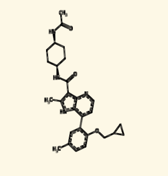 CC(=O)N[C@H]1CC[C@@H](NC(=O)c2c(C)[nH]c3c(-c4cc(C)ccc4OCC4CC4)ccnc23)CC1